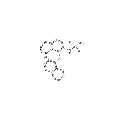 CS(=O)(=O)Nc1ccc2ccccc2c1Cc1c(O)ccc2ccccc12